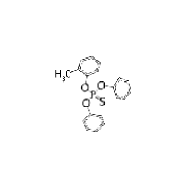 Cc1ccccc1OP(=S)(Oc1ccccc1)Oc1ccccc1